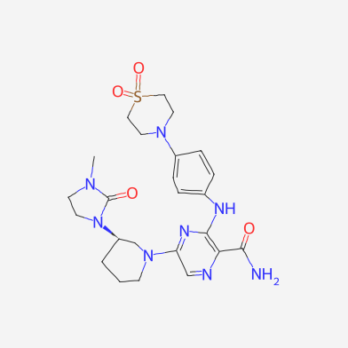 CN1CCN([C@@H]2CCCN(c3cnc(C(N)=O)c(Nc4ccc(N5CCS(=O)(=O)CC5)cc4)n3)C2)C1=O